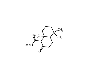 COC(=O)C1C(=O)CCC2C(C)(C)CCCC12C